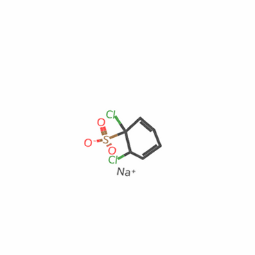 O=S(=O)([O-])C1(Cl)C=CC=CC1Cl.[Na+]